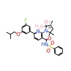 BC1(B)[C@@H](C)CC(C)(C)N1c1nc(-c2cc(F)cc(OCC(C)C)c2)ccc1C(=O)NS(=O)(=O)c1ccccc1